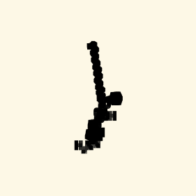 CC(C)CCCCCCCCCCCCCCOC[C@H](COP(=O)(O)OC[C@@H]1CC[C@](C#N)(c2ccc3c(N)ncnn23)O1)OCc1ccccc1